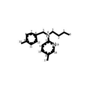 CCCCN(Cc1ccc(C)cc1)c1ccc(C)cn1